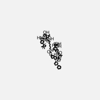 Cc1ncsc1-c1ccc([C@H](C)NC(=O)[C@@H]2C[C@@H](O)CN2C(=O)[C@@H](NC(=O)CCCCCCNC(=O)COc2ccc3c(c2)CN(C(=O)[C@@H](NC(=O)c2cc4cc(C(F)(F)P(=O)(O)O)ccc4s2)C(C)(C)C)[C@H](C(=O)N2CCC[C@H](c4ccccc4)C2)C3)C(C)(C)C)cc1